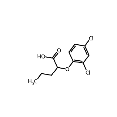 CCCC(Oc1ccc(Cl)cc1Cl)C(=O)O